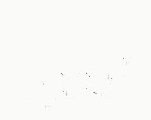 CC1(C)CN=C(N2C[C@@H]3C[C@H]2CN3c2ncnc3sc(CC(F)(F)F)cc23)S1